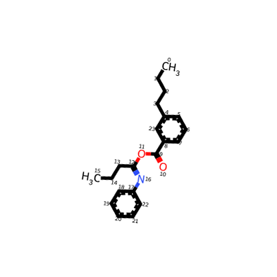 CCCCc1cccc(C(=O)OC(CCC)=Nc2ccccc2)c1